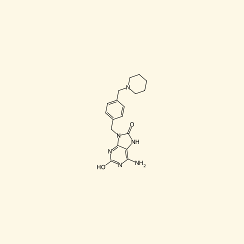 Nc1nc(O)nc2c1[nH]c(=O)n2Cc1ccc(CN2CCCCC2)cc1